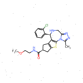 Cc1nnc2n1-c1sc3c(c1[C@@H](c1ccccc1Cl)NC2)C[C@H](C(=O)NCCOC(F)(F)F)C3